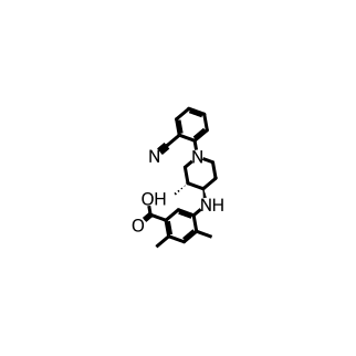 Cc1cc(C)c(C(=O)O)cc1N[C@@H]1CCN(c2ccccc2C#N)C[C@H]1C